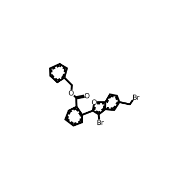 O=C(OCc1ccccc1)c1ccccc1-c1oc2ccc(CBr)cc2c1Br